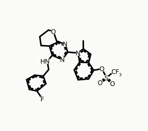 Cc1cc2c(OS(=O)(=O)C(F)(F)F)cccc2n1-c1nc(NCc2cccc(F)c2)c2c(n1)OCCC2